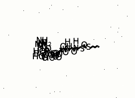 CCCCCSCC(=O)SCCNC(=O)CCNC(=O)[C@H](O)C(C)(C)COP(=O)(O)OP(=O)(O)OC[C@H]1O[C@@H](n2cnc3c(N)ncnc32)[C@H](O)[C@@H]1OP(=O)(O)O